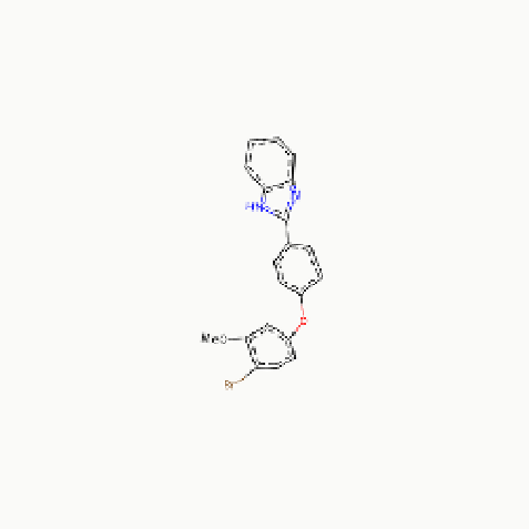 COc1cc(Oc2ccc(-c3nc4ccccc4[nH]3)cc2)ccc1Br